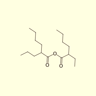 CCCCC(CC)C(=O)OC(=O)C(CCC)CCCC